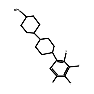 CCCC1CCC(C2CCC(c3cc(I)c(F)c(F)c3F)CC2)CC1